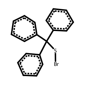 BrSC(c1ccccc1)(c1ccccc1)c1ccccc1